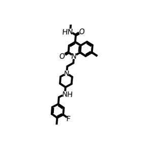 CNC(=O)c1cc(=O)n(CCN2CCC(NCc3ccc(C)c(F)c3)CC2)c2cc(C)ccc12